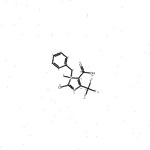 CS1(Cc2ccccc2)C(Cl)=NC(C(F)(F)F)=C1C(=O)O